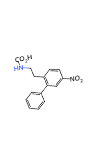 O=C(O)NCCc1ccc([N+](=O)[O-])cc1-c1ccccc1